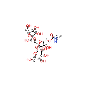 CCCNC(=O)OC[C@H]1O[C@@](CO[C@]2(CO)O[C@H](CO)C(O)[C@H]2O)(O[C@H]2OC(CO)[C@@H](O)C(O)[C@@H]2O)[C@H](O)C1O